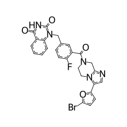 O=C(c1cc(Cn2c(=O)[nH]c(=O)c3ccccc32)ccc1F)N1CCn2c(-c3ccc(Br)o3)cnc2C1